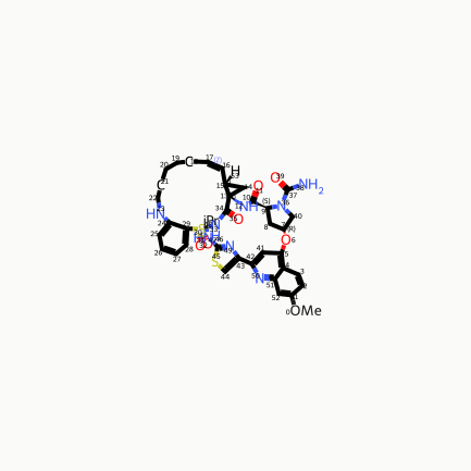 COc1ccc2c(O[C@@H]3C[C@@H](C(=O)N[C@]45C[C@H]4/C=C\CCCCCNc4ccccc4S(=O)(=O)NC5=O)N(C(N)=O)C3)cc(-c3csc(NC(C)C)n3)nc2c1